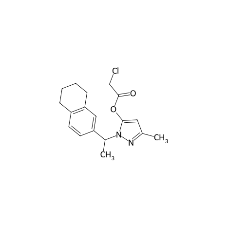 Cc1cc(OC(=O)CCl)n(C(C)c2ccc3c(c2)CCCC3)n1